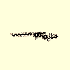 O=C(NCc1ccco1)c1ccc2c(c1)SCC(=O)N2Cc1c(F)cc(OCCCCCCCCCCCI)cc1F